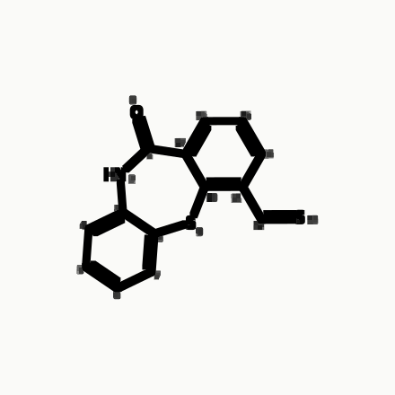 O=C1Nc2ccccc2Sc2c(C=S)cccc21